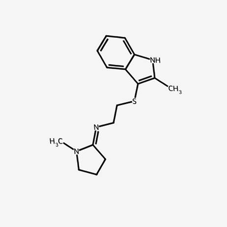 Cc1[nH]c2ccccc2c1SCC/N=C1\CCCN1C